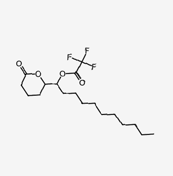 CCCCCCCCCCC(OC(=O)C(F)(F)F)C1CCCC(=O)O1